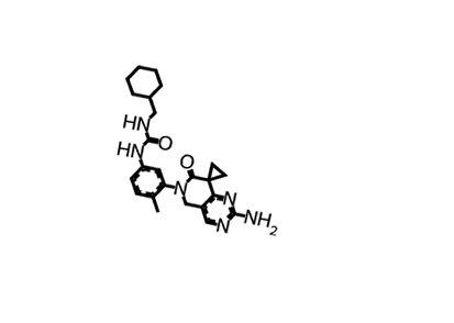 Cc1ccc(NC(=O)NCC2CCCCC2)cc1N1Cc2cnc(N)nc2C2(CC2)C1=O